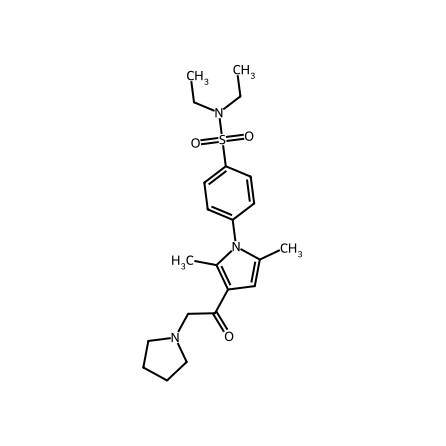 CCN(CC)S(=O)(=O)c1ccc(-n2c(C)cc(C(=O)CN3CCCC3)c2C)cc1